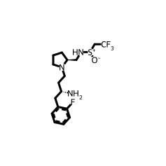 N[C@@H](CCN1CCC[C@H]1CN[S+]([O-])CC(F)(F)F)Cc1ccccc1F